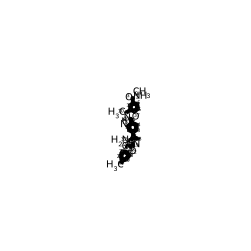 CNC(=O)c1cccc([C@@H](C)n2cnc3cc(-c4cnn(S(=O)(=O)c5ccc(C)cc5)c4N)ccc3c2=O)c1